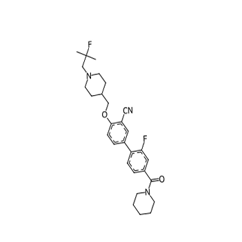 CC(C)(F)CN1CCC(COc2ccc(-c3ccc(C(=O)N4CCCCC4)cc3F)cc2C#N)CC1